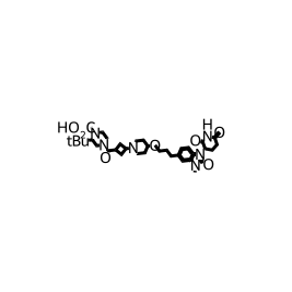 Cn1c(=O)n(C2CCC(=O)NC2=O)c2ccc(CCCOC3CCN(C4CC(C(=O)N5CCN(C(=O)O)C(C(C)(C)C)C5)C4)CC3)cc21